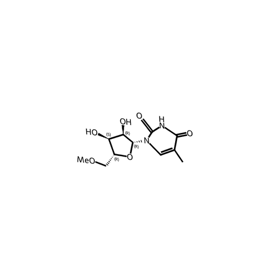 COC[C@H]1O[C@@H](n2cc(C)c(=O)[nH]c2=O)[C@H](O)[C@@H]1O